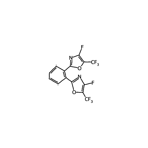 Fc1nc(-c2[c]cc[c]c2-c2nc(F)c(C(F)(F)F)o2)oc1C(F)(F)F